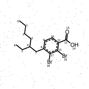 CCCCC(CC)Cc1ccc(C(=O)O)c(Br)c1Br